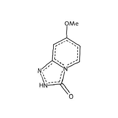 COc1ccn2c(=O)[nH]nc2c1